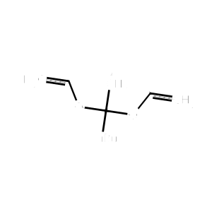 C=COC(C)(OC=C)C(C)CC